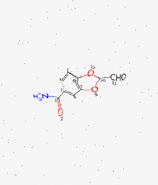 NC(=O)c1ccc2c(c1)OC(C=O)O2